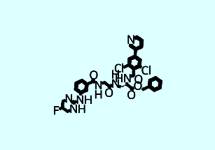 O=C(CNC(=O)c1cccc(NC2=NCC(F)CN2)c1)NC[C@H](NC(=O)c1c(Cl)cc(-c2cccnc2)cc1Cl)C(=O)OCc1ccccc1